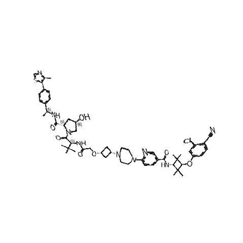 Cc1ncsc1-c1ccc([C@H](C)NC(=O)[C@@H]2C[C@@H](O)CN2C(=O)[C@@H](NC(=O)CO[C@H]2C[C@@H](N3CCN(c4ccc(C(=O)N[C@H]5C(C)(C)[C@H](Oc6ccc(C#N)c(Cl)c6)C5(C)C)cn4)CC3)C2)C(C)(C)C)cc1